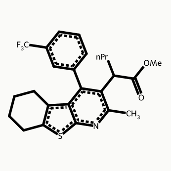 CCCC(C(=O)OC)c1c(C)nc2sc3c(c2c1-c1cccc(C(F)(F)F)c1)CCCC3